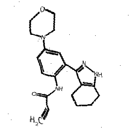 C=CC(=O)Nc1ccc(N2CCOCC2)cc1-c1n[nH]c2c1CCCC2